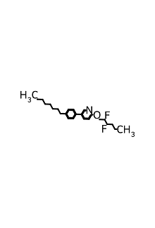 CCCCCCCCc1ccc(-c2ccc(OC[C@H](F)[C@@H](F)CCC)nc2)cc1